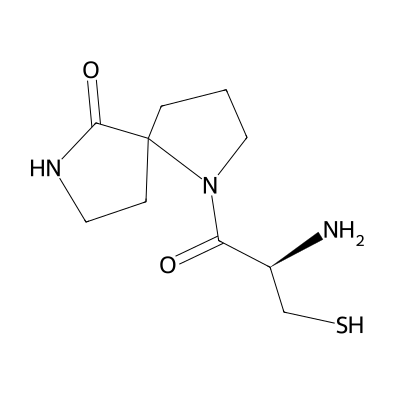 N[C@@H](CS)C(=O)N1CCCC12CCNC2=O